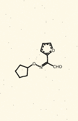 O=[C]C(=NOC1CCCC1)c1ccco1